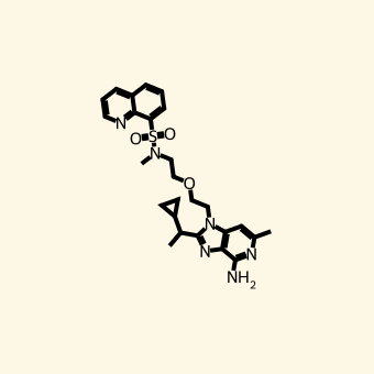 Cc1cc2c(nc(C(C)C3CC3)n2CCOCCN(C)S(=O)(=O)c2cccc3cccnc23)c(N)n1